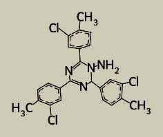 Cc1ccc(C2=NC(c3ccc(C)c(Cl)c3)N(N)C(c3ccc(C)c(Cl)c3)=N2)cc1Cl